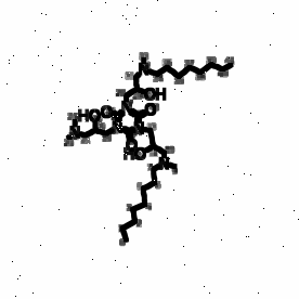 CCCCCCCCN(C)CC(O)Cn1c(=O)n(CC(O)CN(C)C)c(=O)n(CC(O)CN(C)CCCCCCCC)c1=O